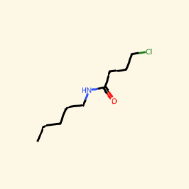 CCCCCNC(=O)CCCCl